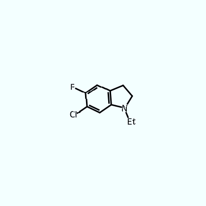 CCN1CCc2cc(F)c(Cl)cc21